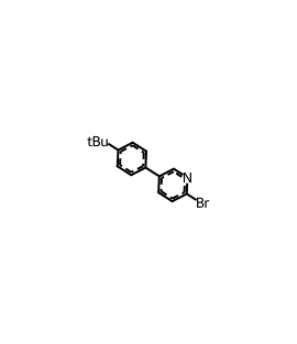 CC(C)(C)c1ccc(-c2ccc(Br)nc2)cc1